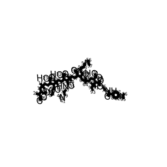 CCOC(=O)C(C(CCC(C)(C)CC1C(=O)OC(=O)C1C)C(=O)O)C(C)(C)CCC(C(=O)O)C(C(=O)NCCCN(C)C)C(C)(C)CCC1C(=O)N(CCCN(C)C)C(=O)C1CC(C)(C)CCC(C(=O)O)C(C(=O)OCCNC(=O)c1ccc(N(C)C)cc1)C(C)(C)CC